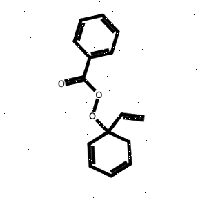 C=CC1(OOC(=O)c2ccccc2)C=CC=CC1